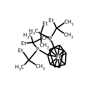 CCC(C)(C)P(C(C)(C)CC)[C]12[CH]3[CH]4[CH]5[C]1(P(C(C)(C)CC)C(C)(C)CC)[Fe]43521678[CH]2[CH]1[CH]6[CH]7[CH]28